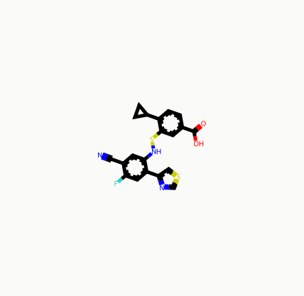 N#Cc1cc(NSc2cc(C(=O)O)ccc2C2CC2)c(-c2cscn2)cc1F